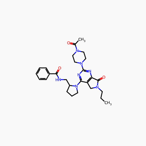 CCCN1Cc2c(nc(N3CCN(C(C)=O)CC3)nc2N2CCCC2CNC(=O)c2ccccc2)C1=O